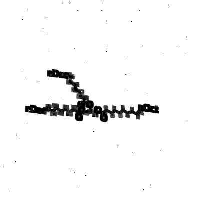 CCCCCCCC/C=C\CCCCCCCC(=O)OC[C@H](COC(=O)CCCCCCCCCCCCCCCCC)OC(=O)CCCCCCCCCCCCCCCCC